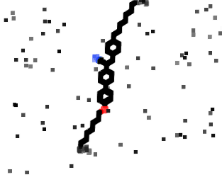 CCCCCCCCOc1ccc(C2CCC(C(C#N)CC3CCC(CCCCCCCC)CC3)CC2)cc1